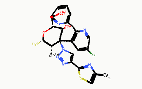 CO[C@@H]1[C@H](S)O[C@@H](CO)[C@@H](O)[C@@]1(c1cc(Cl)cnc1-c1ccccn1)n1cc(-c2nc(C)cs2)nn1